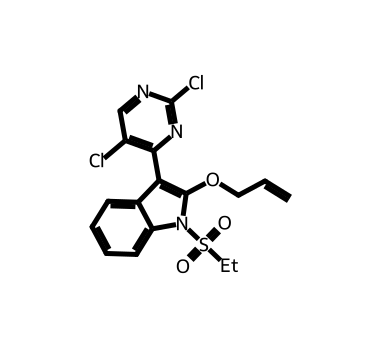 C=CCOc1c(-c2nc(Cl)ncc2Cl)c2ccccc2n1S(=O)(=O)CC